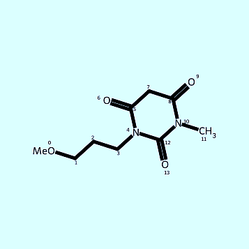 COCCCN1C(=O)CC(=O)N(C)C1=O